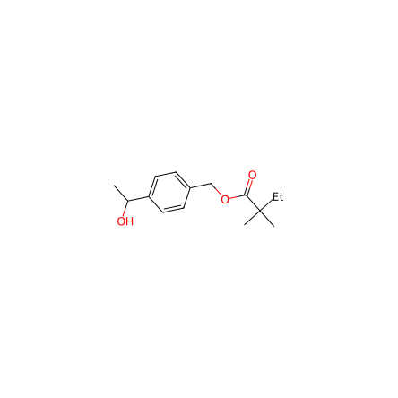 CCC(C)(C)C(=O)OCc1ccc(C(C)O)cc1